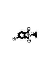 O=C1c2ccc(Br)cc2C(=O)N1C1CC1